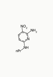 [CH2]CCNc1ccc([N+](=O)[O-])c(N)n1